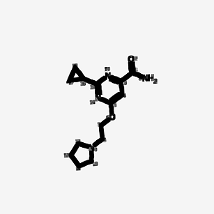 NC(=O)c1cc(OCCN2CCCC2)nc(C2CC2)n1